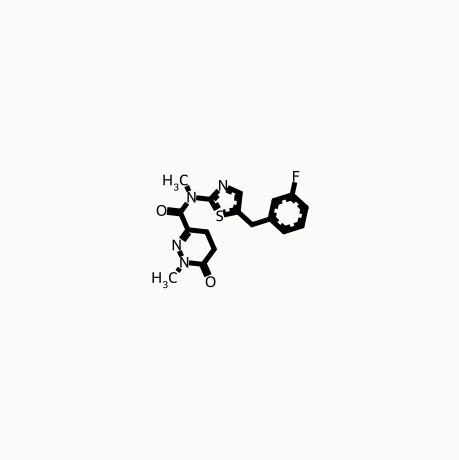 CN1N=C(C(=O)N(C)c2ncc(Cc3cccc(F)c3)s2)CCC1=O